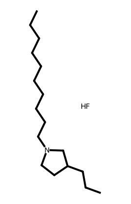 CCCCCCCCCCN1CCC(CCC)C1.F